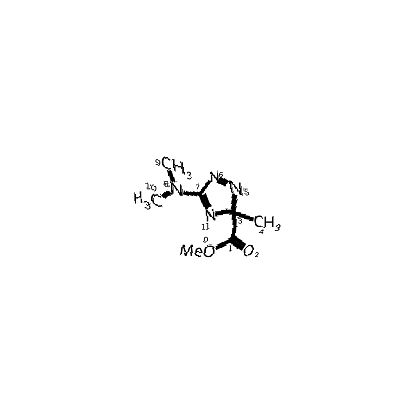 COC(=O)C1(C)N=NC(N(C)C)=N1